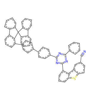 N#Cc1ccc2sc3cccc(-c4nc(-c5ccccc5)nc(-c5ccc(-c6ccc(-c7cccc8c7C7(c9ccccc9-c9ccccc97)c7ccccc7-8)cc6)cc5)n4)c3c2c1